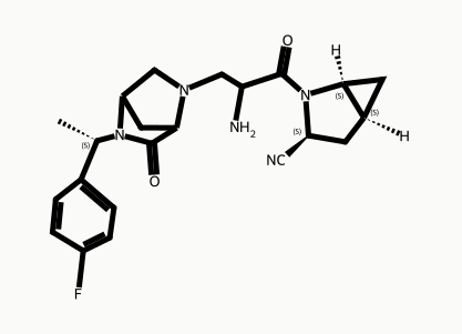 C[C@@H](c1ccc(F)cc1)N1C(=O)C2CC1CN2CC(N)C(=O)N1[C@H](C#N)C[C@@H]2C[C@@H]21